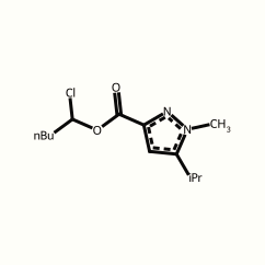 CCCCC(Cl)OC(=O)c1cc(C(C)C)n(C)n1